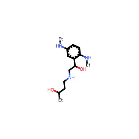 CCNc1ccc(NCC)c(C(O)CNCCC(O)CC)c1